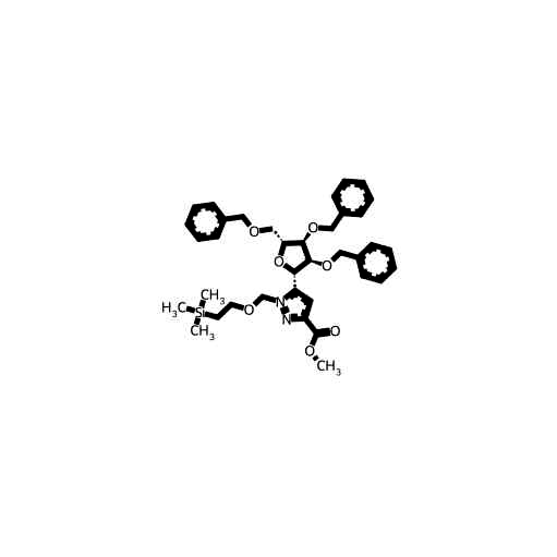 COC(=O)c1cc([C@@H]2O[C@H](COCc3ccccc3)[C@@H](OCc3ccccc3)[C@H]2OCc2ccccc2)n(COCC[Si](C)(C)C)n1